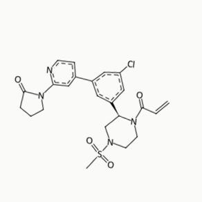 C=CC(=O)N1CCN(S(C)(=O)=O)C[C@H]1c1cc(Cl)cc(-c2ccnc(N3CCCC3=O)c2)c1